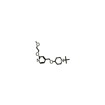 COCCOc1cc(COC2CCN(C(C)(C)C)CC2)ccn1